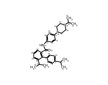 CC(C)c1ccc(-c2c(C(=O)Nc3ccc(N4CCN(C(C)C)CC4)nc3)cccc2C(C)C)cc1